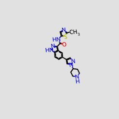 Cc1ncc(NC(=O)c2n[nH]c3ccc(-c4cnn(C5CCNCC5)c4)cc23)s1